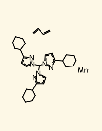 C=CC=C.[Mn].c1cn(C(n2ccc(C3CCCCC3)n2)n2ccc(C3CCCCC3)n2)nc1C1CCCCC1